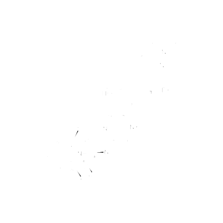 CN(c1cnc(-c2cc(F)c(-c3ccn(C)n3)cc2O)cn1)[C@@H]1C[C@@]2(C)CCC[C@](C)(N2)[C@@H]1F